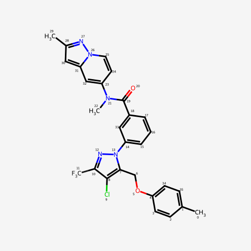 Cc1ccc(OCc2c(Cl)c(C(F)(F)F)nn2-c2cccc(C(=O)N(C)c3ccn4nc(C)cc4c3)c2)cc1